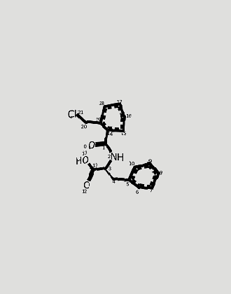 O=C(N[C@@H](Cc1ccccc1)C(=O)O)c1ccccc1CCl